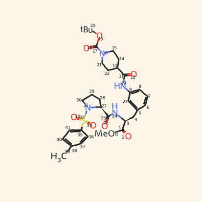 COC(=O)[C@H](Cc1cccc(NC(=O)C2CCN(C(=O)OC(C)(C)C)CC2)c1)NC(=O)[C@@H]1CCCN1S(=O)(=O)c1ccc(C)cc1